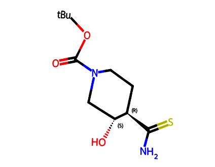 CC(C)(C)OC(=O)N1CC[C@@H](C(N)=S)[C@H](O)C1